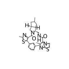 Cc1cccc(-c2sc(C)nc2C(=O)N2C[C@@H]3CC(C)C[C@@H]3[C@H]2CNC(=O)c2c(C)nc3sccn23)c1